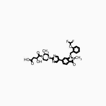 C[C@@H]1CN(c2ncc(-c3ccc4c(=O)n(C)n(Cc5ccccc5OC(F)F)c4c3)cn2)CCN1C(=O)[C@@H](O)CC(=O)O